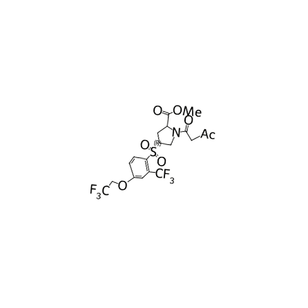 COC(=O)C1C[C@@H](S(=O)(=O)c2ccc(OCC(F)(F)F)cc2C(F)(F)F)CN1C(=O)CC(C)=O